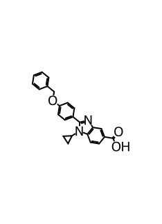 O=C(O)c1ccc2c(c1)nc(-c1ccc(OCc3ccccc3)cc1)n2C1CC1